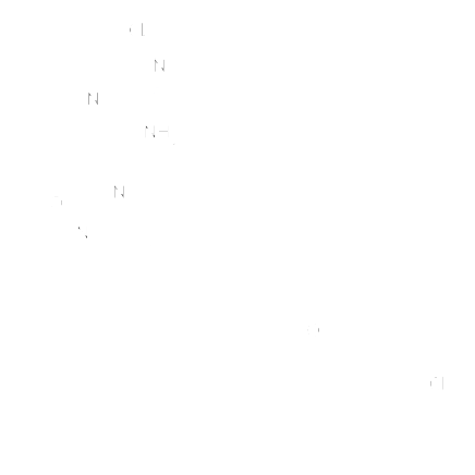 N/C(=N/Cl)N1CCC[C@H]1c1nc(-c2ccc3cc(OCc4cccc(Cl)c4)ccc3c2)no1